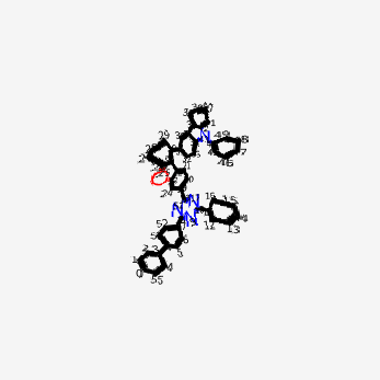 c1ccc(-c2ccc(-c3nc(-c4ccccc4)nc(-c4ccc5c(c4)oc4cccc(-c6ccc7c(c6)c6ccccc6n7-c6ccccc6)c45)n3)cc2)cc1